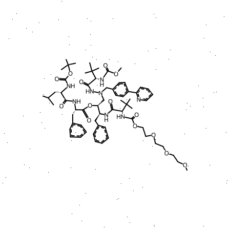 COCCOCCOCCOC(=O)N[C@H](C(=O)N[C@@H](Cc1ccccc1)[C@H](CN(Cc1ccc(-c2ccccn2)cc1)NC(=O)[C@@H](NC(=O)OC)C(C)(C)C)OC(=O)[C@H](Cc1ccccc1)NC(=O)[C@H](CC(C)C)NC(=O)OC(C)(C)C)C(C)(C)C